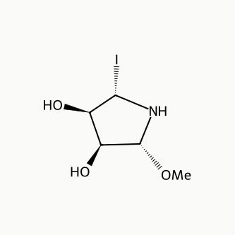 CO[C@H]1N[C@@H](I)[C@H](O)[C@@H]1O